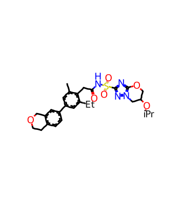 CCc1cc(-c2ccc3c(c2)COCC3)cc(C)c1CC(=O)NS(=O)(=O)c1nc2n(n1)CC(OC(C)C)CO2